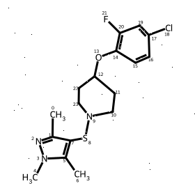 Cc1nn(C)c(C)c1SN1CCC(Oc2ccc(Cl)cc2F)CC1